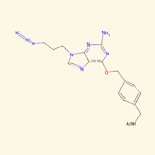 CC(=O)NCc1ccc(COc2nc(N)nc3c2ncn3CCCN=[N+]=[N-])cc1